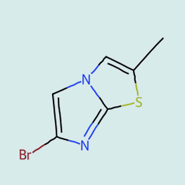 Cc1cn2cc(Br)nc2s1